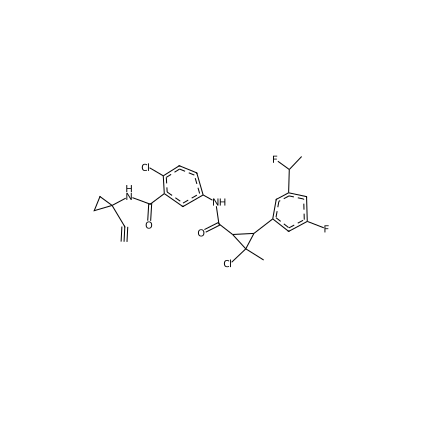 C#CC1(NC(=O)c2cc(NC(=O)C3C(c4cc(F)cc(C(C)F)c4)C3(C)Cl)ccc2Cl)CC1